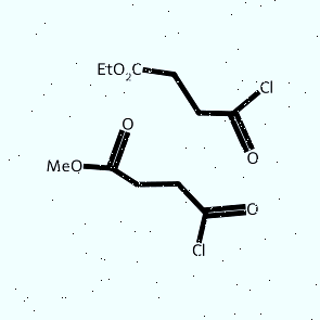 CCOC(=O)CCC(=O)Cl.COC(=O)CCC(=O)Cl